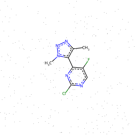 Cc1nnn(C)c1-c1nc(Cl)ncc1F